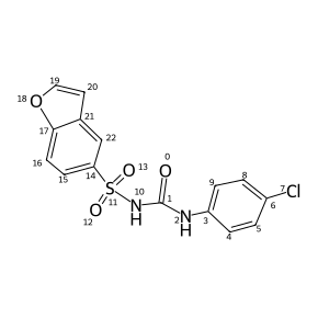 O=C(Nc1ccc(Cl)cc1)NS(=O)(=O)c1ccc2occc2c1